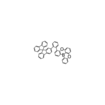 c1ccc2c(c1)Oc1cccc3c1B2c1cccc(-c2ccccc2-c2ccc4c(c2)C2(c5ccccc5-c5ccccc52)c2ccccc2-4)c1O3